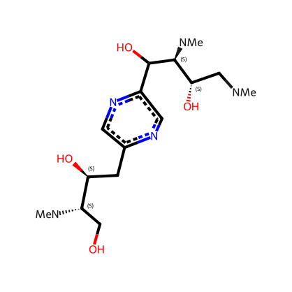 CNC[C@H](O)[C@H](NC)C(O)c1cnc(C[C@H](O)[C@H](CO)NC)cn1